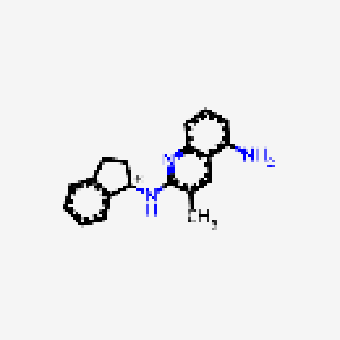 Cc1cc2c(N)cccc2nc1N[C@@H]1CCc2ccccc21